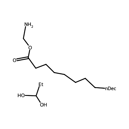 CCC(O)O.CCCCCCCCCCCCCCCCCC(=O)OCN